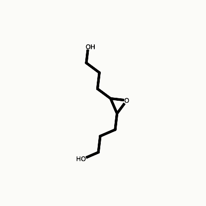 OCCCC1OC1CCCO